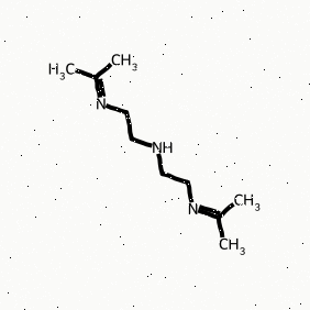 CC(C)=NCCNCCN=C(C)C